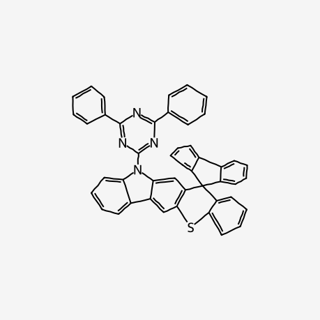 c1ccc(-c2nc(-c3ccccc3)nc(-n3c4ccccc4c4cc5c(cc43)C3(c4ccccc4S5)c4ccccc4-c4ccccc43)n2)cc1